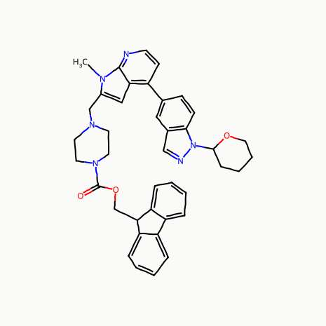 Cn1c(CN2CCN(C(=O)OCC3c4ccccc4-c4ccccc43)CC2)cc2c(-c3ccc4c(cnn4C4CCCCO4)c3)ccnc21